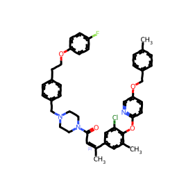 C/C(=C/C(=O)N1CCN(Cc2ccc(CCOc3ccc(F)cc3)cc2)CC1)c1cc(C)c(Oc2ccc(OCc3ccc(C)cc3)cn2)c(Cl)c1